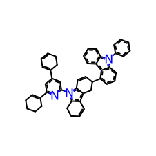 C1=CCCC(c2cc(C3=CCCCC3)nc(-n3c4c(c5c3CCC=C5)CC(c3cccc5c3c3ccccc3n5-c3ccccc3)C=C4)c2)=C1